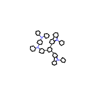 c1ccc(N(c2ccccc2)c2ccc(N(c3ccccc3)c3cccc(-c4cc(-c5ccc6c(c5)c5ccccc5n6-c5ccccc5)cc(-c5ccc6c7ccccc7n(-c7ccccc7)c6c5)c4)c3)cc2)cc1